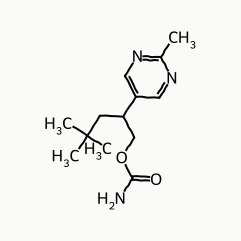 Cc1ncc(C(COC(N)=O)CC(C)(C)C)cn1